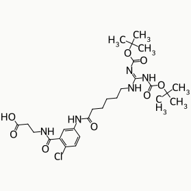 CC(C)(C)OC(=O)N=C(NCCCCCC(=O)Nc1ccc(Cl)c(C(=O)NCCC(=O)O)c1)NC(=O)OC(C)(C)C